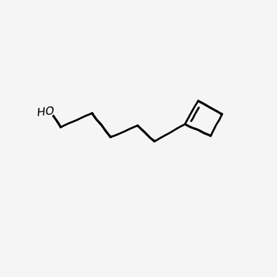 OCCCCCC1=CCC1